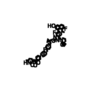 C=C1CCC(n2c(=O)oc3cc(N4CCN(CC5(F)CCN(CC6(COc7nc(N8CCC[C@]9(CCO9)C8)c8cnc(-c9cc(O)cc%10ccc(F)c(CC)c9%10)c(F)c8n7)CC6)CC5)CC4)ccc32)C(=O)N1